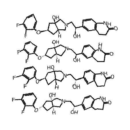 O=C1CCc2cc([C@@H](O)CN3C[C@@H]4C[C@@H](Oc5cccc(F)c5F)C[C@]4(O)C3)ccc2N1.O=C1CCc2cc([C@@H](O)CN3C[C@H]4C[C@H](Oc5cccc(F)c5F)C[C@@]4(O)C3)ccc2N1.O=C1CCc2cc([C@H](O)CN3C[C@@H]4C[C@@H](Oc5cccc(F)c5F)C[C@]4(O)C3)ccc2N1.O=C1CCc2cc([C@H](O)CN3C[C@H]4C[C@H](Oc5cccc(F)c5F)C[C@@]4(O)C3)ccc2N1